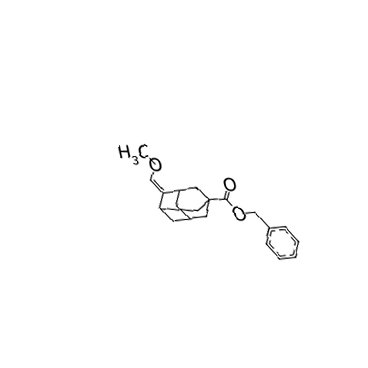 COC=C1C2CC3CC1CC(C(=O)OCc1ccccc1)(C3)C2